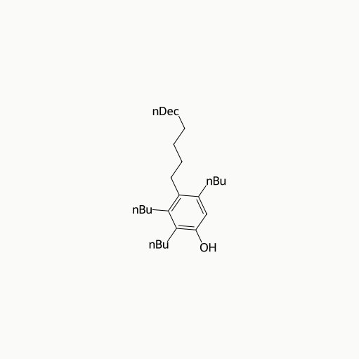 CCCCCCCCCCCCCCc1c(CCCC)cc(O)c(CCCC)c1CCCC